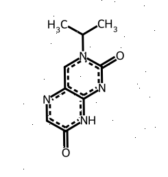 CC(C)n1cc2ncc(=O)[nH]c2nc1=O